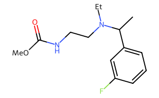 CCN(CCNC(=O)OC)C(C)c1cccc(F)c1